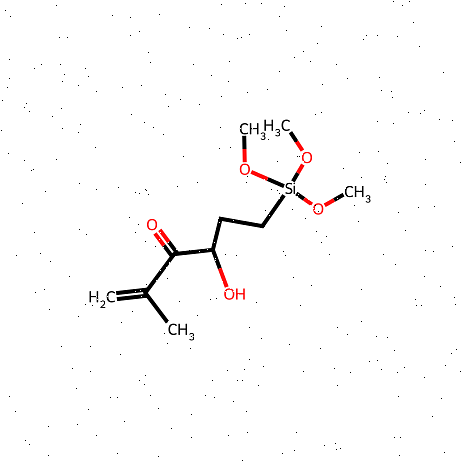 C=C(C)C(=O)C(O)CC[Si](OC)(OC)OC